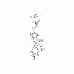 O=S(=O)(Nc1nnc(CCN2CCOCC2)s1)c1ccc(Cl)cc1Cl